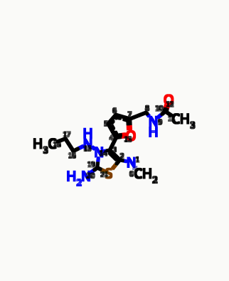 C=NC1=C(c2ccc(CNC(C)=O)o2)N(NCCC)C(N)S1